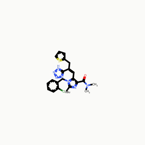 CCCCc1nc(C(=O)N(C)C)c(/C=C(/Cc2cccs2)c2nnn[nH]2)n1Cc1ccccc1Cl